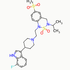 CC(C)N1Cc2cc(S(C)(=O)=O)ccc2N(CCN2CCC(c3c[nH]c4c(F)cccc34)CC2)S1(=O)=O